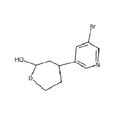 OC1CC(c2cncc(Br)c2)CCO1